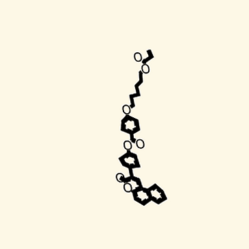 C=CC(=O)OCCCCCCOc1ccc(C(=O)Oc2ccc(-c3cc4c(ccc5ccccc54)oc3=O)cc2)cc1